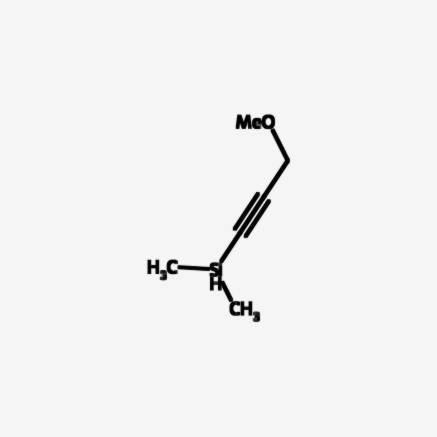 COCC#C[SiH](C)C